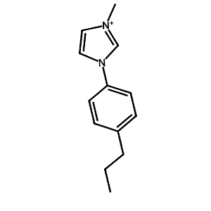 CCCc1ccc(-n2cc[n+](C)c2)cc1